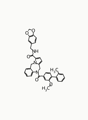 COc1cc(C(=O)N2Cc3ccc(C(=O)NCc4ccc5c(c4)OCO5)n3Cc3ccccc32)ccc1-c1ccccc1C